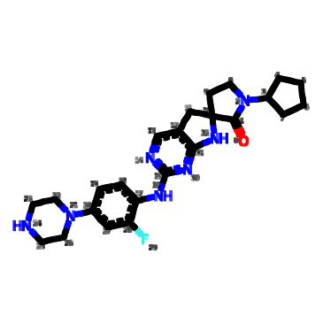 O=C1N(C2CCCC2)CCC12Cc1cnc(Nc3ccc(N4CCNCC4)cc3F)nc1N2